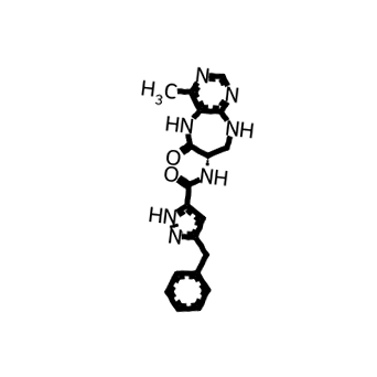 Cc1ncnc2c1NC(=O)[C@@H](NC(=O)c1cc(Cc3ccccc3)n[nH]1)CN2